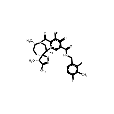 CC1=NO[C@@]2(CC[C@H](C)N3C[C@H]2n2cc(C(=O)NCc4ccc(F)c(C)c4F)c(=O)c(O)c2C3=O)[C@H]1C